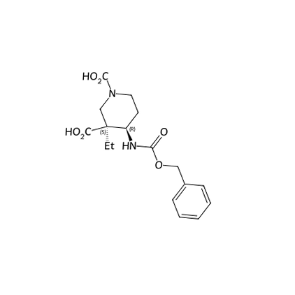 CC[C@]1(C(=O)O)CN(C(=O)O)CC[C@H]1NC(=O)OCc1ccccc1